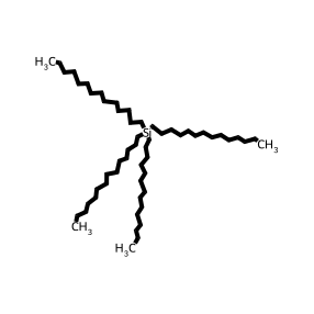 CCCCCCCCCCCCCC[Si](CCCCCCCCCCCCCC)(CCCCCCCCCCCCCC)CCCCCCCCCCCCCC